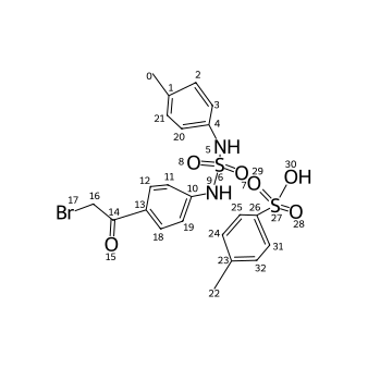 Cc1ccc(NS(=O)(=O)Nc2ccc(C(=O)CBr)cc2)cc1.Cc1ccc(S(=O)(=O)O)cc1